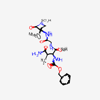 COC1(NC(=O)CNC(=O)C(NC(=O)OCc2ccccc2)C(C)C(N)=O)CN(S(=O)(=O)O)C1=O.[NaH]